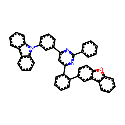 c1ccc(-c2nc(-c3cccc(-n4c5ccccc5c5ccccc54)c3)cc(-c3ccccc3-c3ccc4oc5ccccc5c4c3)n2)cc1